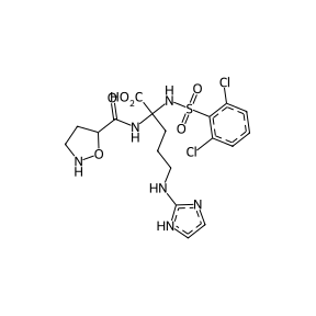 O=C(NC(CCCNc1ncc[nH]1)(NS(=O)(=O)c1c(Cl)cccc1Cl)C(=O)O)C1CCNO1